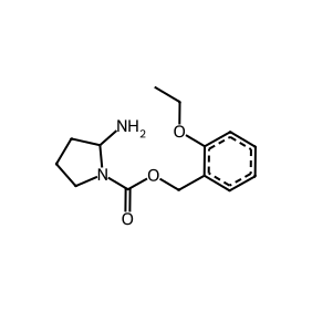 CCOc1ccccc1COC(=O)N1CCCC1N